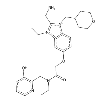 CCN(Cc1ncccc1O)C(=O)COc1ccc2c(c1)n(CC)c(CN)[n+]2CC1CCOCC1